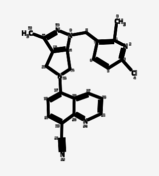 Cc1nc(Cl)ccc1Cn1nc(C)c2c1CN(c1ccc(C#N)c3ncccc13)C2